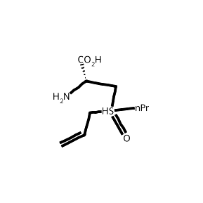 C=CC[SH](=O)(CCC)C[C@H](N)C(=O)O